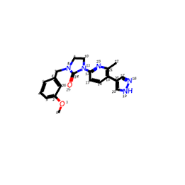 COc1cccc(CN2CCN(c3ccc(-c4cn[nH]c4)c(C)n3)C2=O)c1